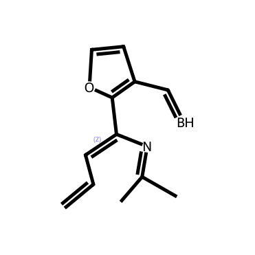 B=Cc1ccoc1/C(=C/C=C)N=C(C)C